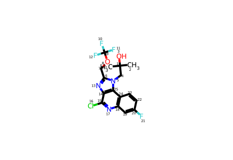 CC(C)(O)Cn1c(COC(F)(F)F)nc2c(Cl)nc3cc(F)ccc3c21